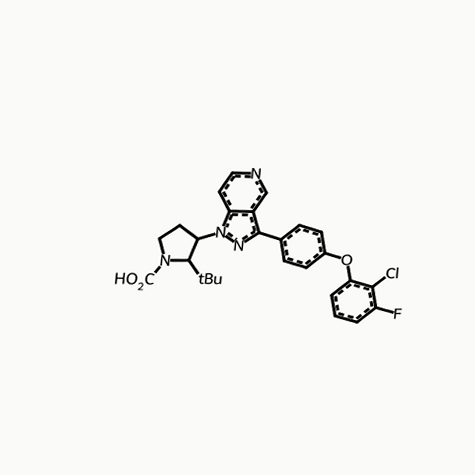 CC(C)(C)C1C(n2nc(-c3ccc(Oc4cccc(F)c4Cl)cc3)c3cnccc32)CCN1C(=O)O